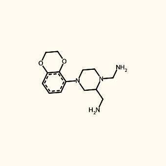 NCC1CN(c2cccc3c2OCCO3)CCN1CN